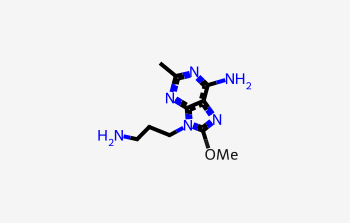 COc1nc2c(N)nc(C)nc2n1CCCN